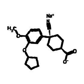 COc1ccc([C@]2(C#N)CC[C@H](C(=O)[O-])CC2)cc1OC1CCCC1.[Na+]